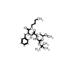 CCCCOC(=O)[C@H](Cc1ccccc1)NC(=O)[C@H](CCOC)NC(=O)OC(C)(C)C